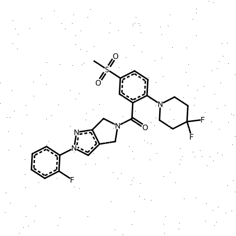 CS(=O)(=O)c1ccc(N2CCC(F)(F)CC2)c(C(=O)N2Cc3cn(-c4ccccc4F)nc3C2)c1